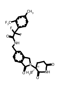 B[C@]1(N2Cc3cc(CNC(=O)C(F)(F)c4ccc(C)cc4C(F)(F)F)ccc3C2=O)CCC(=O)NC1=O